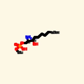 CCCCCCCCCCCCC/C=C/[C@H](O)[C@H](N)COP(=O)(O)OC(C)(C)C